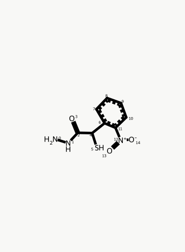 NNC(=O)C(S)c1ccccc1[N+](=O)[O-]